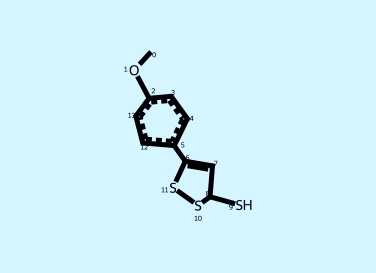 COc1ccc(C2=CC(S)SS2)cc1